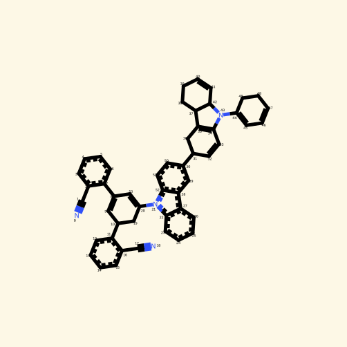 N#Cc1ccccc1C1=CC(c2ccccc2C#N)CC(n2c3ccccc3c3cc(C4C=CC5=C(C4)C4CCC=CC4N5C4=CC=CCC4)ccc32)=C1